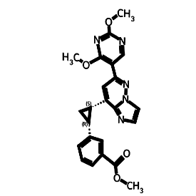 COC(=O)c1cccc([C@@H]2C[C@@H]2c2cc(-c3cnc(OC)nc3OC)nn3ccnc23)c1